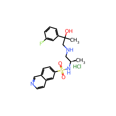 C[C@H](CNCC(C)(O)c1cccc(F)c1)NS(=O)(=O)c1ccc2cnccc2c1.Cl